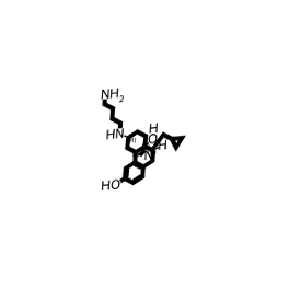 NCCCCN[C@@H]1CC[C@@]2(O)[C@H]3Cc4ccc(O)cc4[C@@]2(CCN3CC2CC2)C1